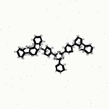 c1ccc(-c2nc(-c3ccc(-c4cccc5c4sc4ccccc45)cc3)nc(-c3ccc(-n4c5ccccc5c5c6sc7ccccc7c6ccc54)cc3)n2)cc1